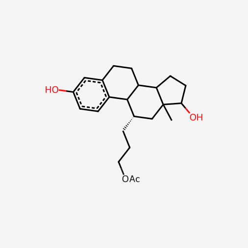 CC(=O)OCCC[C@H]1CC2(C)C(O)CCC2C2CCc3cc(O)ccc3C21